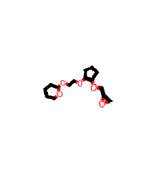 C1CCC(OCCOC2CCCC2OCC2CO2)OC1